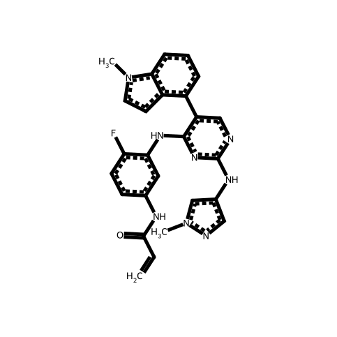 C=CC(=O)Nc1ccc(F)c(Nc2nc(Nc3cnn(C)c3)ncc2-c2cccc3c2ccn3C)c1